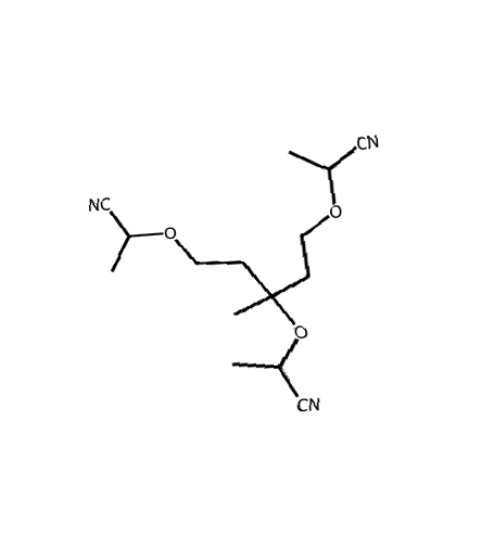 CC(C#N)OCCC(C)(CCOC(C)C#N)OC(C)C#N